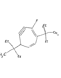 CCC(C)(CC)C1=C(F)C#CC(C(C)(CC)CC)C=C1